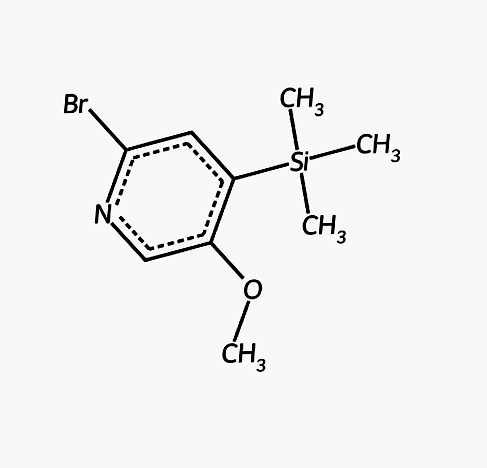 COc1cnc(Br)cc1[Si](C)(C)C